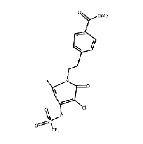 COC(=O)c1ccc(CCn2c(C)cc(OS(=O)(=O)C(F)(F)F)c(Cl)c2=O)cc1